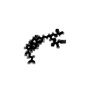 C=CC(=O)OCC(CCC[C@H]1CC[C@@]2(C)[C@@H](CC[C@@H]3[C@@H]2CC[C@]2(C)[C@@H]([C@H](C)CCCC(C)C)CC[C@@H]32)C1)COC(=O)C(=C)CO